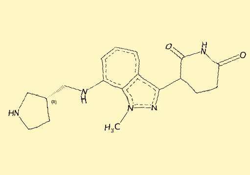 Cn1nc(C2CCC(=O)NC2=O)c2cccc(NC[C@@H]3CCNC3)c21